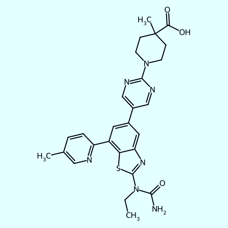 CCN(C(N)=O)c1nc2cc(-c3cnc(N4CCC(C)(C(=O)O)CC4)nc3)cc(-c3ccc(C)cn3)c2s1